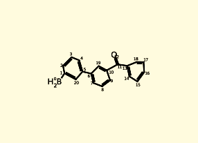 Bc1cccc(-c2cccc(C(=O)c3ccccc3)c2)c1